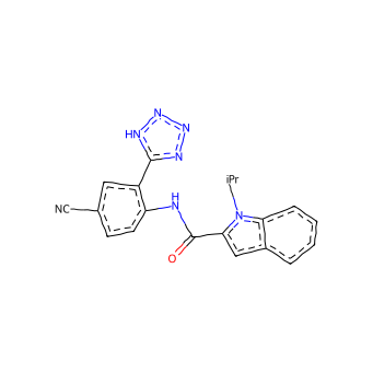 CC(C)n1c(C(=O)Nc2ccc(C#N)cc2-c2nnn[nH]2)cc2ccccc21